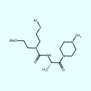 COCCN(CCSC(C)=O)C(=O)N[C@@H](C)C(=O)N1CCN(C)CC1